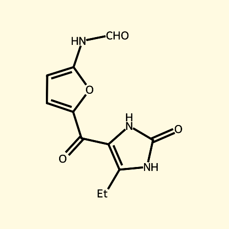 CCc1[nH]c(=O)[nH]c1C(=O)c1ccc(NC=O)o1